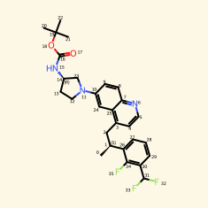 C[C@@H](Cc1ccnc2ccc(N3CC[C@@H](NC(=O)OC(C)(C)C)C3)cc12)c1cccc(C(F)F)c1F